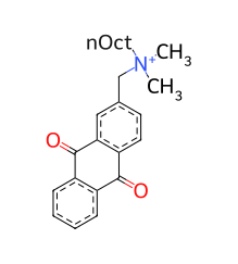 CCCCCCCC[N+](C)(C)Cc1ccc2c(c1)C(=O)c1ccccc1C2=O